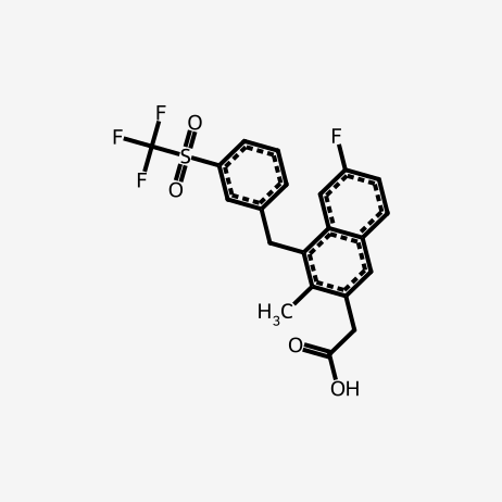 Cc1c(CC(=O)O)cc2ccc(F)cc2c1Cc1cccc(S(=O)(=O)C(F)(F)F)c1